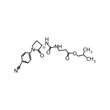 CC(C)COC(=O)CCNC(=O)N[C@H]1CCN(c2ccc(C#N)cc2)C1=O